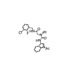 CC(=O)n1cc(NC(=O)N(CC(=O)NCc2cccc(Cl)c2F)C(C)C)c2ccccc21